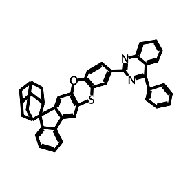 c1ccc(-c2nc(-c3ccc4c(c3)Sc3cc5c(cc3O4)C3(c4ccccc4-5)C4CC5CC(C4)CC3C5)nc3ccccc23)cc1